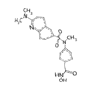 CN(C)c1ccc2cc(S(=O)(=O)N(C)c3ccc(C(=O)NO)cc3)ccc2n1